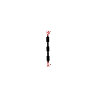 BrC#CC#CC#CBr